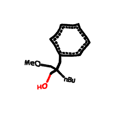 [CH2]CCCC(O)(OC)c1ccccc1